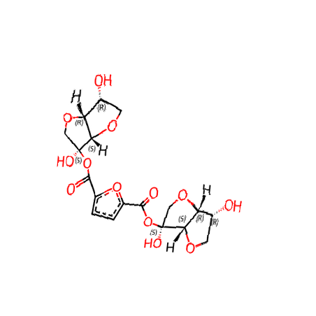 O=C(O[C@@]1(O)CO[C@@H]2[C@H](O)CO[C@@H]21)c1ccc(C(=O)O[C@@]2(O)CO[C@@H]3[C@H](O)CO[C@@H]32)o1